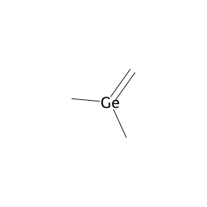 [CH2]=[Ge]([CH3])[CH3]